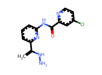 C=C(NN)c1cccc(NC(=O)c2cc(Cl)ccn2)n1